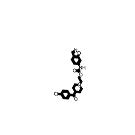 O=C(Nc1ccc2cnoc2c1)OCCN1CCC(C(=O)c2ccc(Cl)cc2)CC1